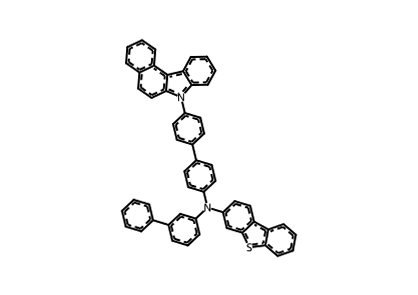 c1ccc(-c2cccc(N(c3ccc(-c4ccc(-n5c6ccccc6c6c7ccccc7ccc65)cc4)cc3)c3ccc4c(c3)sc3ccccc34)c2)cc1